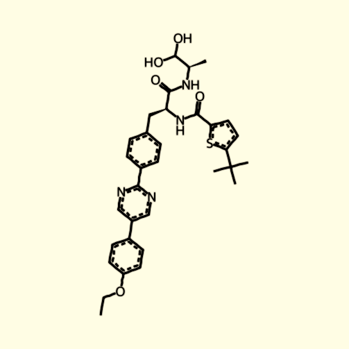 CCOc1ccc(-c2cnc(-c3ccc(C[C@H](NC(=O)c4ccc(C(C)(C)C)s4)C(=O)N[C@H](C)C(O)O)cc3)nc2)cc1